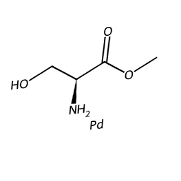 COC(=O)[C@@H](N)CO.[Pd]